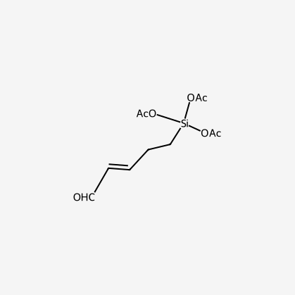 CC(=O)O[Si](CCC=CC=O)(OC(C)=O)OC(C)=O